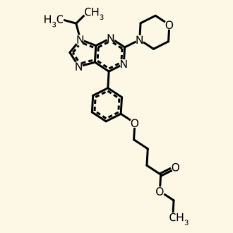 CCOC(=O)CCCOc1cccc(-c2nc(N3CCOCC3)nc3c2ncn3C(C)C)c1